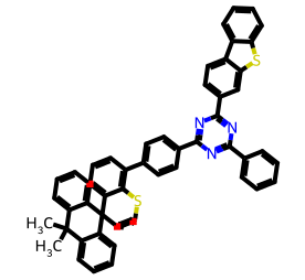 CC1(C)c2ccccc2C2(c3ccccc3Sc3c(-c4ccc(-c5nc(-c6ccccc6)nc(-c6ccc7c(c6)sc6ccccc67)n5)cc4)cccc32)c2ccccc21